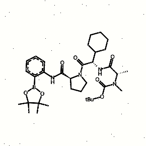 C[C@@H](C(=O)N[C@H](C(=O)N1CCC[C@H]1C(=O)Nc1ccccc1B1OC(C)(C)C(C)(C)O1)C1CCCCC1)N(C)C(=O)OC(C)(C)C